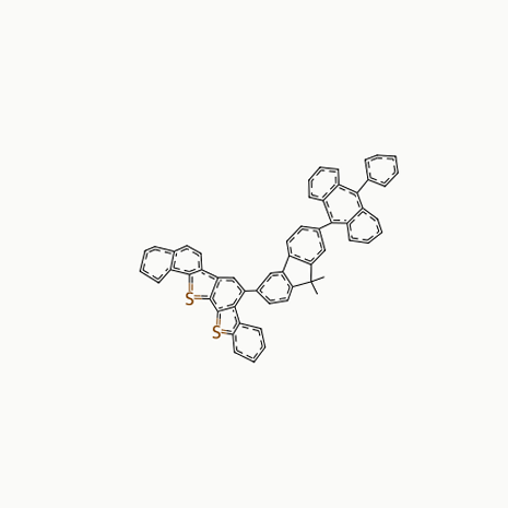 CC1(C)c2ccc(-c3cc4c5ccc6ccccc6c5sc4c4sc5ccccc5c34)cc2-c2ccc(-c3c4ccccc4c(-c4ccccc4)c4ccccc34)cc21